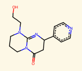 O=C1CC(c2ccncc2)N=C2N(CCO)CCCN12